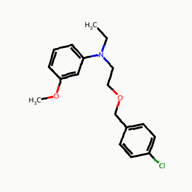 CCN(CCOCc1ccc(Cl)cc1)c1cccc(OC)c1